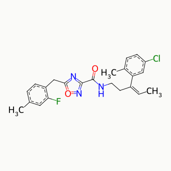 C/C=C(/CCNC(=O)c1noc(Cc2ccc(C)cc2F)n1)c1cc(Cl)ccc1C